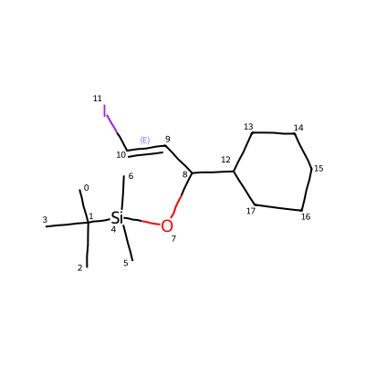 CC(C)(C)[Si](C)(C)OC(/C=C/I)C1CCCCC1